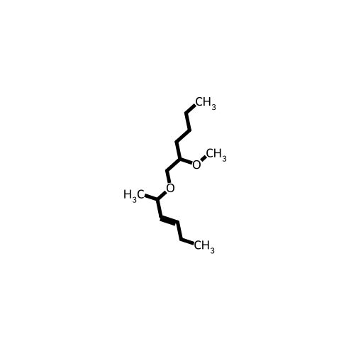 CCC=CC(C)OCC(CCCC)OC